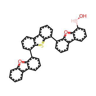 OBc1cccc2c1oc1c(-c3cccc4c3sc3c(-c5cccc6c5oc5ccccc56)cccc34)cccc12